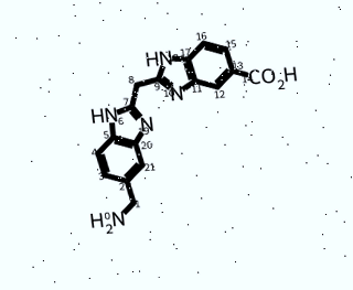 NCc1ccc2[nH]c(Cc3nc4cc(C(=O)O)ccc4[nH]3)nc2c1